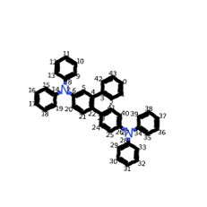 c1ccc(-c2cc(N(c3ccccc3)c3ccccc3)ccc2-c2ccc(N(c3ccccc3)c3ccccc3)cc2)cc1